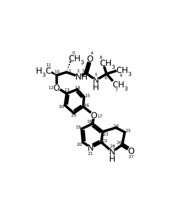 C[C@H](NC(=O)NC(C)(C)C)[C@H](C)Oc1ccc(Oc2ccnc3c2CCC(=O)N3)cc1